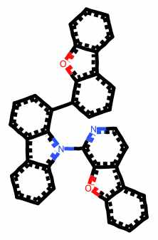 c1ccc2c(c1)oc1c(-c3cccc4c5ccccc5n(-c5nccc6c5oc5ccccc56)c34)cccc12